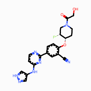 N#Cc1cc(-c2nccc(Nc3cn[nH]c3)n2)ccc1O[C@H]1CCN(C(=O)CO)C[C@H]1F